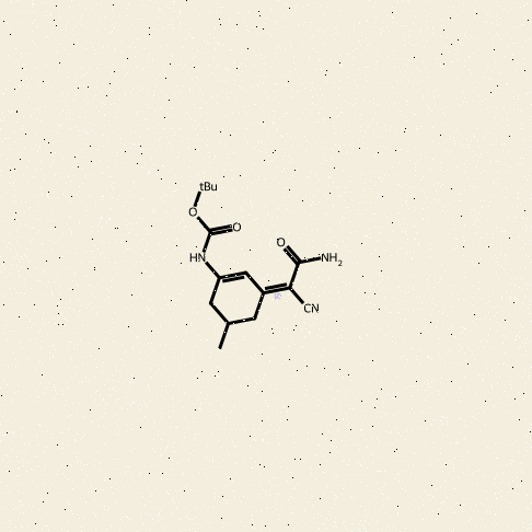 CC1CC(NC(=O)OC(C)(C)C)=C/C(=C(/C#N)C(N)=O)C1